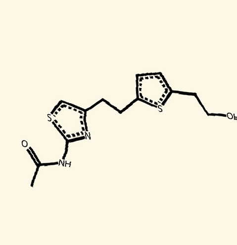 CC(=O)Nc1nc(CCc2ccc(CCO)s2)cs1